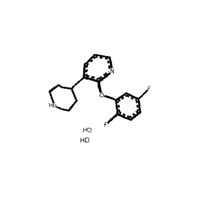 Cl.Cl.Fc1ccc(F)c(Oc2ncccc2C2CCNCC2)c1